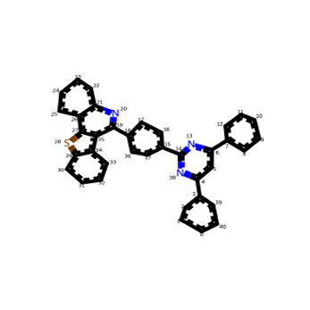 c1ccc(-c2cc(-c3ccccc3)nc(-c3ccc(-c4nc5ccccc5c5sc6ccccc6c45)cc3)n2)cc1